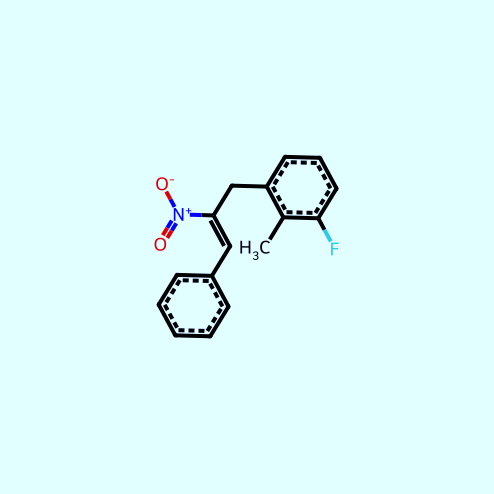 Cc1c(F)cccc1C/C(=C/c1ccccc1)[N+](=O)[O-]